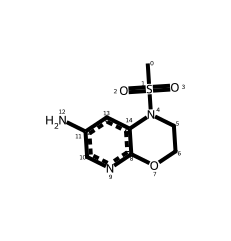 CS(=O)(=O)N1CCOc2ncc(N)cc21